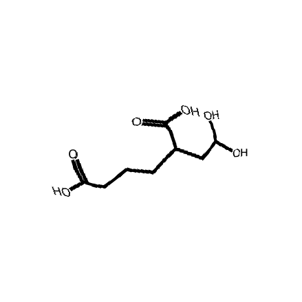 O=C(O)CCCC(CC(O)O)C(=O)O